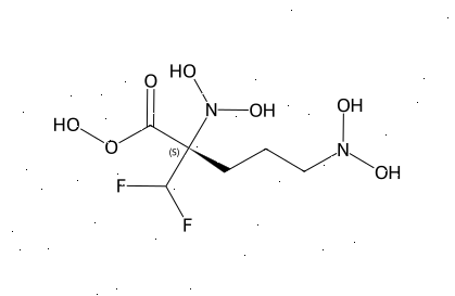 O=C(OO)[C@@](CCCN(O)O)(C(F)F)N(O)O